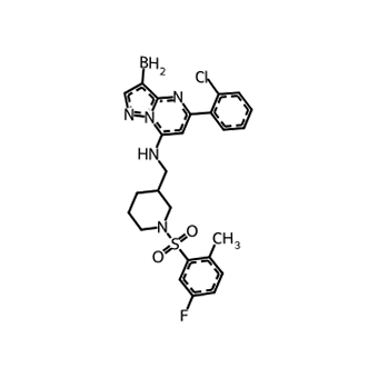 Bc1cnn2c(NCC3CCCN(S(=O)(=O)c4cc(F)ccc4C)C3)cc(-c3ccccc3Cl)nc12